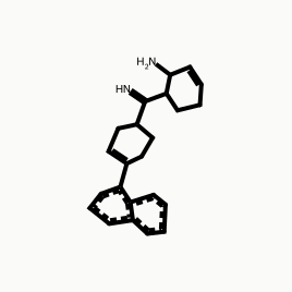 N=C(C1CC=C(c2cccc3ccccc23)CC1)C1CCC=CC1N